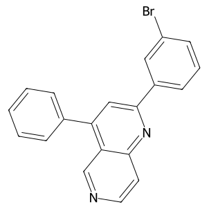 Brc1cccc(-c2cc(-c3ccccc3)c3cnccc3n2)c1